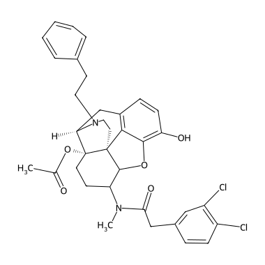 CC(=O)O[C@@]12CCC(N(C)C(=O)Cc3ccc(Cl)c(Cl)c3)C3Oc4c(O)ccc5c4[C@@]31CCN(CCc1ccccc1)[C@@H]2C5